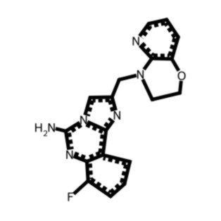 Nc1nc2c(F)cccc2c2nc(CN3CCOc4cccnc43)cn12